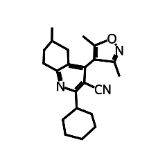 Cc1noc(C)c1-c1c(C#N)c(C2CCCCC2)nc2c1CC(C)CC2